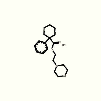 Cl.O=C(OCCN1CCOCC1)C1(c2ccccc2)CCCCC1